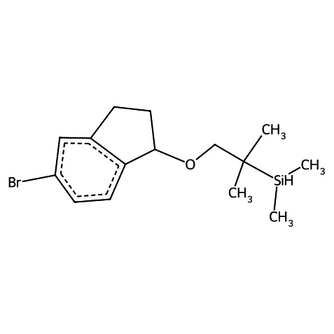 C[SiH](C)C(C)(C)COC1CCc2cc(Br)ccc21